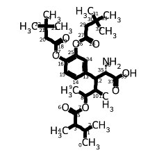 CC(C)C(C)C(=O)OC(C)C(C)C(c1ccc(OC(=O)CC(C)(C)C)c(OC(=O)CC(C)(C)C)c1)[C@H](N)C(=O)O